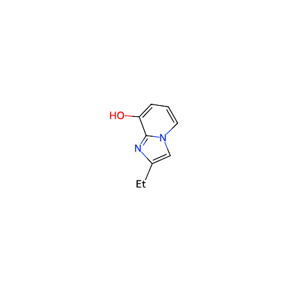 CCc1cn2cccc(O)c2n1